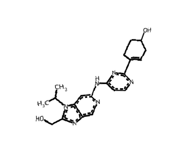 CC(C)n1c(CO)nc2cnc(Nc3ccnc(C4=CCC(O)CC4)n3)cc21